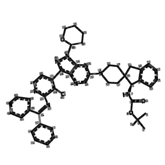 CC(C)(C)OC(=O)N[C@@H]1c2ccccc2CC12CCN(c1cnc3c(-c4ccnc(N=C(c5ccccc5)c5ccccc5)c4Cl)nn(C4CCCCO4)c3n1)CC2